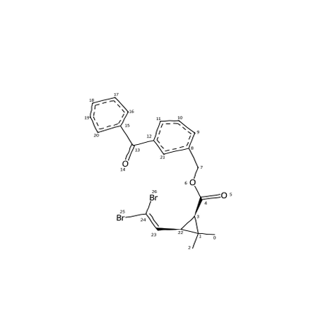 CC1(C)[C@H](C(=O)OCc2cccc(C(=O)c3ccccc3)c2)[C@@H]1C=C(Br)Br